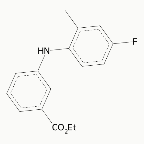 CCOC(=O)c1cccc(Nc2ccc(F)cc2C)c1